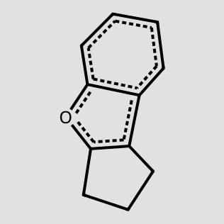 c1ccc2c3c(oc2c1)CCC3